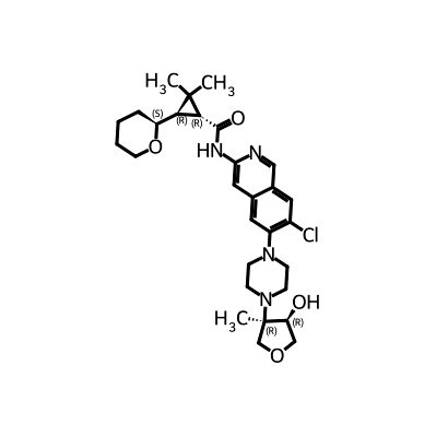 CC1(C)[C@H]([C@@H]2CCCCO2)[C@H]1C(=O)Nc1cc2cc(N3CCN([C@]4(C)COC[C@@H]4O)CC3)c(Cl)cc2cn1